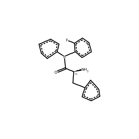 N[C@@H](Cc1ccccc1)C(=O)N(c1ccccc1)c1ccccc1F